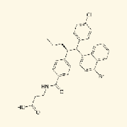 CCC[C@H](c1ccc(C(=O)NCCC(=O)O)cc1)C(c1ccc(Cl)cc1)c1ccc(Br)c2ccccc12